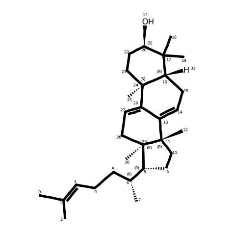 CC(C)=CCC[C@@H](C)[C@H]1CC[C@@]2(C)C3=CC[C@H]4C(C)(C)[C@H](O)CC[C@]4(C)C3=CC[C@]12C